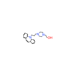 OCCN1CCN(CCCN2c3ccccc3C=CC3C=CC=CC32)CC1